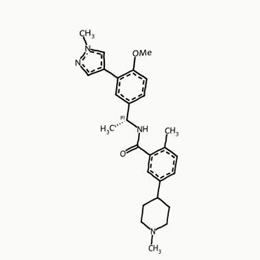 COc1ccc([C@@H](C)NC(=O)c2cc(C3CCN(C)CC3)ccc2C)cc1-c1cnn(C)c1